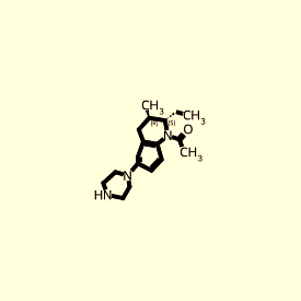 CC[C@H]1[C@H](C)Cc2cc(N3CCNCC3)ccc2N1C(C)=O